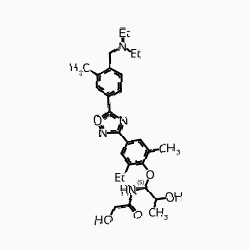 CCc1cc(-c2noc(-c3ccc(CN(CC)CC)c(C)c3)n2)cc(C)c1O[C@H](NC(=O)CO)C(C)O